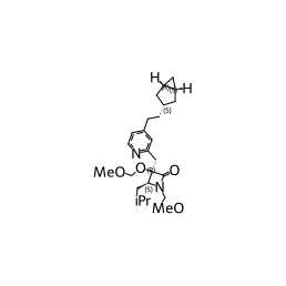 COCO[C@@]1(Cc2cc(CC[C@@H]3C[C@@H]4C[C@@H]4C3)ccn2)C(=O)N(COC)[C@H]1CC(C)C